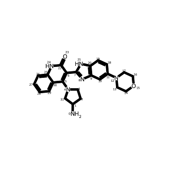 NC1CCN(c2c(-c3nc4cc(N5CCOCC5)ccc4[nH]3)c(=O)[nH]c3ccccc23)C1